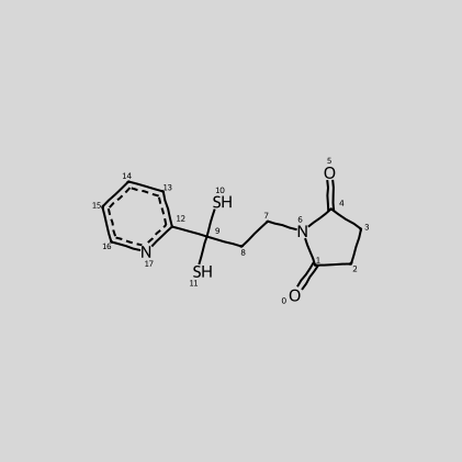 O=C1CCC(=O)N1CCC(S)(S)c1ccccn1